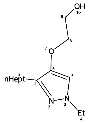 CCCCCCCc1nn(CC)cc1OCCO